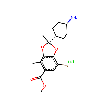 COC(=O)c1cc(Br)c2c(c1C)OC(C)([C@H]1CC[C@H](N)CC1)O2.Cl